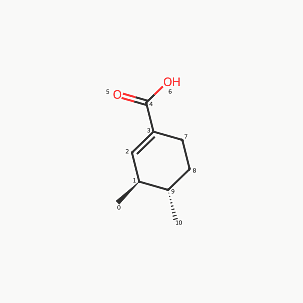 C[C@H]1C=C(C(=O)O)CC[C@@H]1C